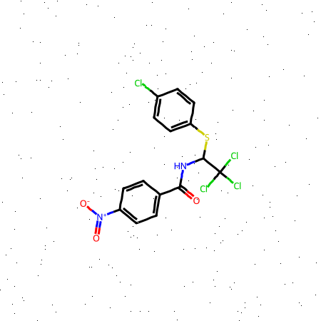 O=C(NC(Sc1ccc(Cl)cc1)C(Cl)(Cl)Cl)c1ccc([N+](=O)[O-])cc1